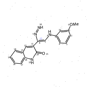 COc1cccc(N/C=C(\N=N)c2cc3ccccc3[nH]c2=O)c1